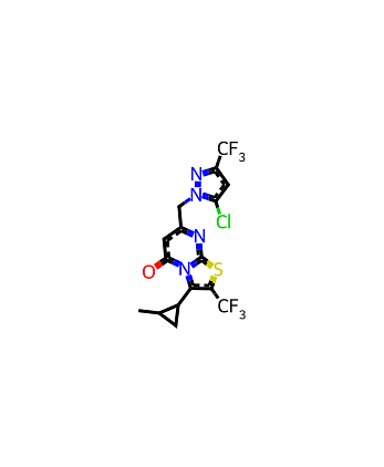 CC1CC1c1c(C(F)(F)F)sc2nc(Cn3nc(C(F)(F)F)cc3Cl)cc(=O)n12